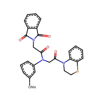 COc1cccc(N(CC(=O)N2CCSc3ccccc32)C(=O)CN2C(=O)c3ccccc3C2=O)c1